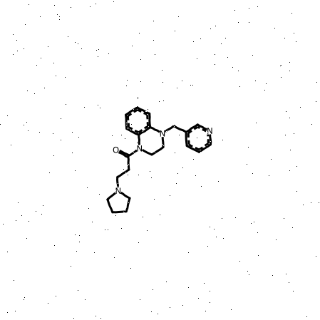 O=C(CCN1CCCC1)N1CCN(Cc2cccnc2)c2ccccc21